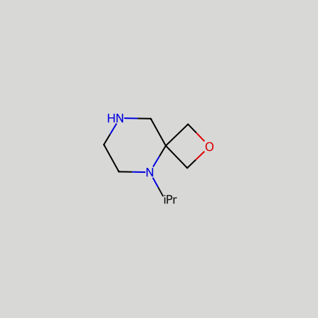 CC(C)N1CCNCC12COC2